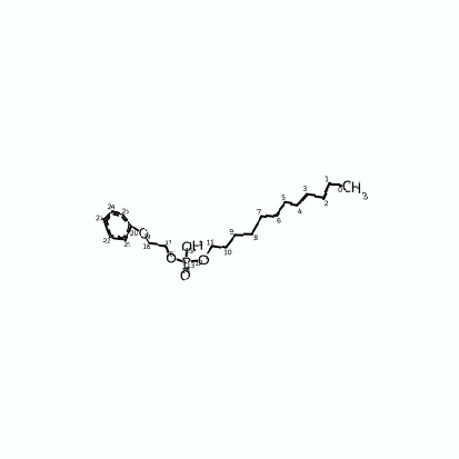 CCCCCCCCCCCCOP(=O)(O)OCCOc1ccccc1